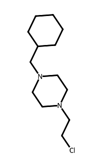 ClCCN1CCN(CC2CCCCC2)CC1